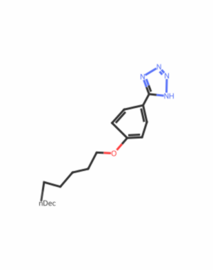 CCCCCCCCCCCCCCCOc1ccc(-c2nnn[nH]2)cc1